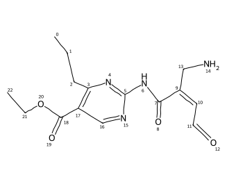 CCCc1nc(NC(=O)/C(=C\C=O)CN)ncc1C(=O)OCC